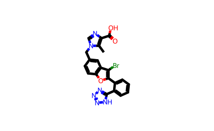 Cc1c(C(=O)O)ncn1Cc1ccc2oc(-c3ccccc3-c3nnn[nH]3)c(Br)c2c1